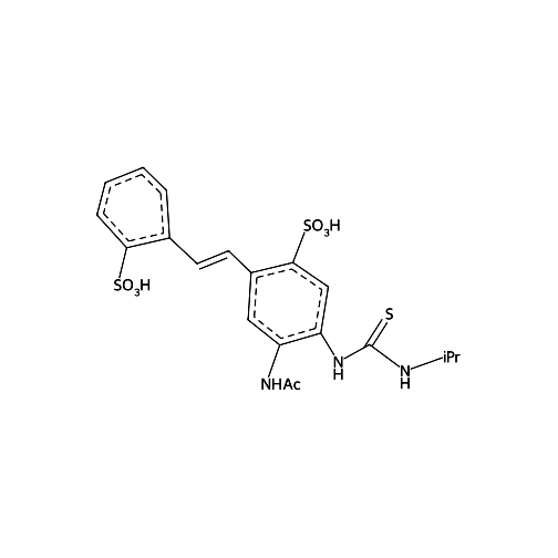 CC(=O)Nc1cc(/C=C/c2ccccc2S(=O)(=O)O)c(S(=O)(=O)O)cc1NC(=S)NC(C)C